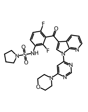 O=C(c1c(F)ccc(NS(=O)(=O)N2CCCC2)c1F)c1cn(-c2cc(N3CCOCC3)ncn2)c2ncccc12